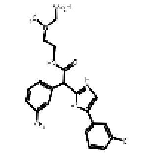 CN(CCNC(=O)C(C1=[SH]C=C(c2cccc(Cl)c2)N1)c1cccc(C(F)(F)F)c1)CC(=O)O